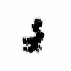 COc1ccccc1Nc1nccc(Oc2ccc(NC(=O)Nc3cc(C(C)(C)C)cc(OCP(C)(C)=O)c3OC)c3ccccc23)n1